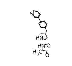 C[C@@H](C=O)NC(=O)[C@H]1C[C@H](Cc2ccc(-c3cccnc3)cc2)CN1